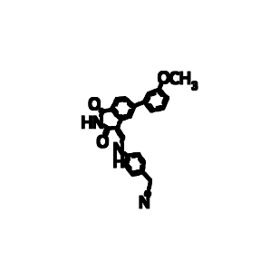 COc1cccc(-c2ccc3c(c2)/C(=C/Nc2ccc(CC#N)cc2)C(=O)NC3=O)c1